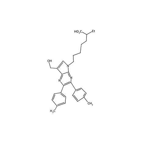 CCC(CCCCCn1cc(CO)c2nc(-c3ccc(C)cc3)c(-c3ccc(C)cc3)nc21)C(=O)O